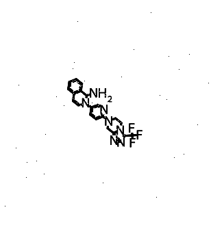 NC1c2ccccc2C=CN1c1ccc(N2CCn3c(nnc3C(F)(F)F)C2)nc1